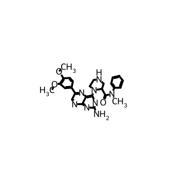 COc1ccc(-c2cnc3nc(N)nc(N4CCNCC4C(=O)N(C)c4ccccc4)c3n2)cc1OC